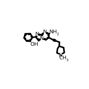 CN1CCC(CC#Cc2cn3cc(-c4ccccc4O)nc3nc2N)CC1